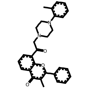 Cc1ccccc1N1CCN(CC(=O)c2cccc3c(=O)c(C)c(-c4ccccc4)oc23)CC1